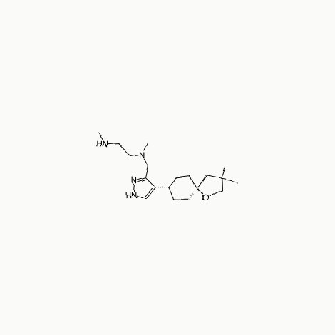 CNCCN(C)Cc1n[nH]cc1[C@H]1CC[C@]2(CC1)CC(C)(C)CO2